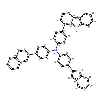 c1ccc2cc(-c3ccc(N(c4ccc(-c5cc6ccccc6s5)cc4)c4ccc(-c5cccc6c5sc5ccccc56)cc4)cc3)ccc2c1